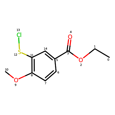 CCOC(=O)c1ccc(OC)c(SCl)c1